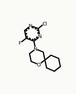 Fc1cnc(Cl)nc1N1CCOC2(CCCCC2)C1